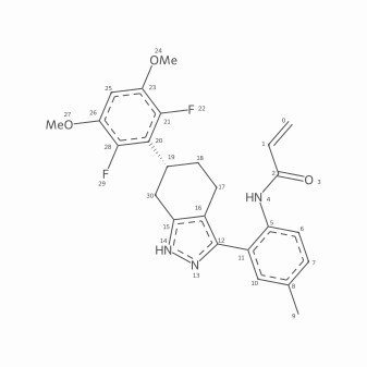 C=CC(=O)Nc1ccc(C)cc1-c1n[nH]c2c1CC[C@@H](c1c(F)c(OC)cc(OC)c1F)C2